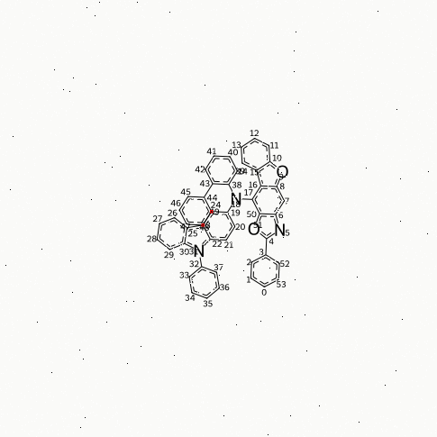 c1ccc(-c2nc3cc4oc5ccccc5c4c(N(c4ccc5c(c4)c4ccccc4n5-c4ccccc4)c4ccccc4-c4ccccc4)c3o2)cc1